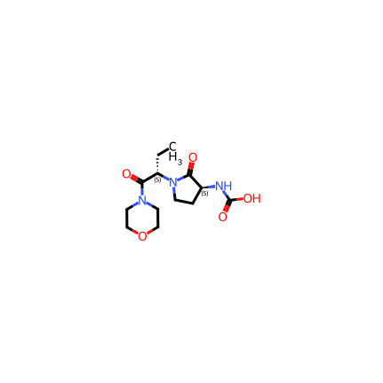 CC[C@@H](C(=O)N1CCOCC1)N1CC[C@H](NC(=O)O)C1=O